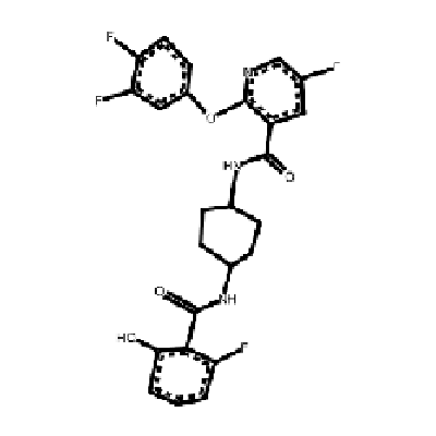 O=C(NC1CCC(NC(=O)c2c(O)cccc2F)CC1)c1cc(F)cnc1Oc1ccc(F)c(F)c1